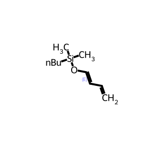 C=C/C=C/O[Si](C)(C)CCCC